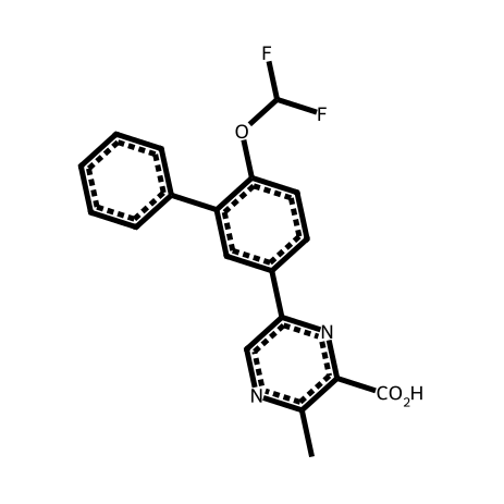 Cc1ncc(-c2ccc(OC(F)F)c(-c3ccccc3)c2)nc1C(=O)O